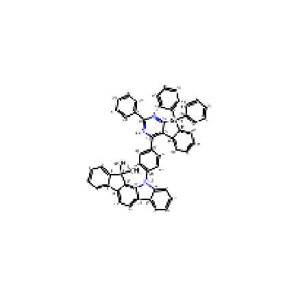 CC1(C)c2ccccc2-c2ccc3c4ccccc4n(-c4ccc(-c5nc(-c6ccccc6)nc6c5-c5ccccc5[Si]6(c5ccccc5)c5ccccc5)cc4)c3c21